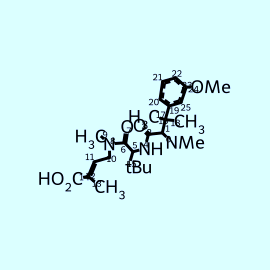 CNC(C(=O)NC(C(=O)N(C)C/C=C(\C)C(=O)O)C(C)(C)C)C(C)(C)c1cccc(OC)c1